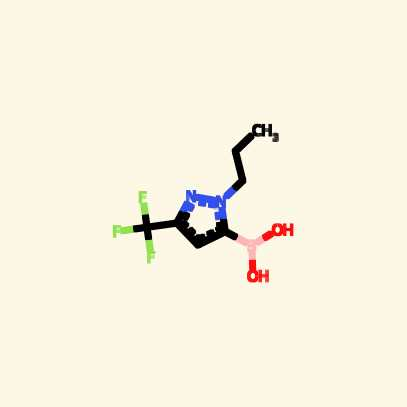 CCCn1nc(C(F)(F)F)cc1B(O)O